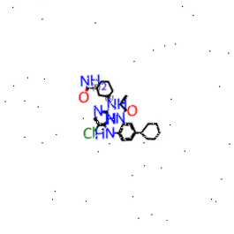 C=CC(=O)Nc1cc(C2CCCCC2)ccc1Nc1nc(N[C@@H]2CCC[C@H](C(N)=O)C2)ncc1Cl